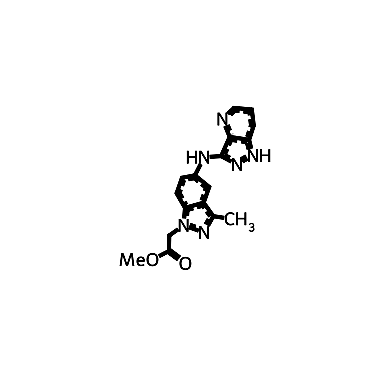 COC(=O)Cn1nc(C)c2cc(Nc3n[nH]c4cccnc34)ccc21